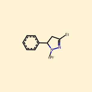 CCCN1N=C(CC)CC1c1ccccc1